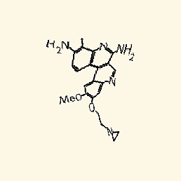 COc1cc2c(cc1OCCN1CC1)ncc1c(N)nc3c(C)c(N)ccc3c12